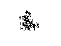 CCN1CCC[C@H]1c1cc(O)c2c(c1OC)C[C@H]1C[C@H]3[C@H](NCCNS(C)(=O)=O)C(O)=C(C(N)=O)C(=O)[C@@]3(O)C(O)=C1C2=O